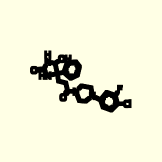 O=C1NC(O)C(CCC(=O)N2CCN(c3ccc(Cl)c(F)c3)CC2)(c2ccccc2)N1